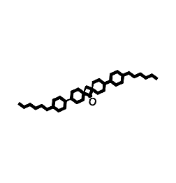 CCCCCCC1CCC(C2CC[C@]3(CC2)C[C@@]2(CC[C@H](C4CCC(CCCCCC)CC4)CC2)C3=O)CC1